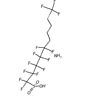 N.O=S(=O)(O)C(F)(F)C(F)(F)C(F)(F)C(F)(F)C(F)(F)CCCCC(F)(F)F